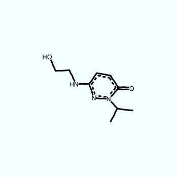 CC(C)n1nc(NCCO)ccc1=O